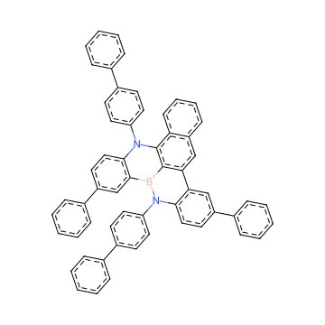 c1ccc(-c2ccc(N3B4c5cc(-c6ccccc6)ccc5N(c5ccc(-c6ccccc6)cc5)c5c4c(cc4ccccc54)-c4cc(-c5ccccc5)ccc43)cc2)cc1